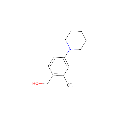 OCc1ccc(N2CCCCC2)cc1C(F)(F)F